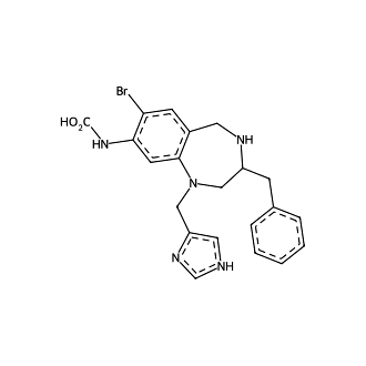 O=C(O)Nc1cc2c(cc1Br)CNC(Cc1ccccc1)CN2Cc1c[nH]cn1